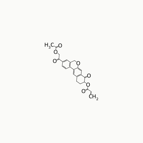 C=CC(=O)OC1CCc2cc3c(cc2C1=O)OCc1cc(C(=O)COC(C)=O)ccc1-3